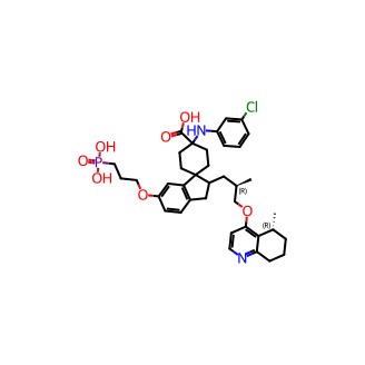 C[C@@H](COc1ccnc2c1[C@H](C)CCC2)CC1Cc2ccc(OCCCP(=O)(O)O)cc2C12CCC(Nc1cccc(Cl)c1)(C(=O)O)CC2